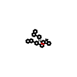 CC1(C)c2ccccc2-c2ccc(N(c3cccc(-c4cccc5ccccc45)c3)c3cc(-c4ccc5ccccc5c4)ccc3-c3ccccc3)cc21